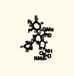 CNS(=O)(=O)N[C@H]1CC2=C(C(=O)OC)[C@H](c3ccc(F)c(F)c3F)N=C(c3nccs3)N2C1